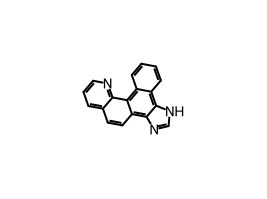 c1cnc2c(c1)ccc1c3nc[nH]c3c3ccccc3c12